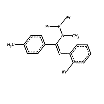 Cc1ccc(C(=Nc2ccccc2C(C)C)N(C)P(C(C)C)C(C)C)cc1